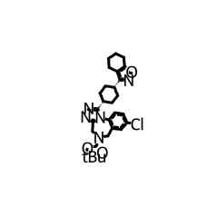 CC(C)(C)OC(=O)N1Cc2cc(Cl)ccc2-n2c(nnc2[C@H]2CC[C@@H](c3noc4c3CCCC4)CC2)C1